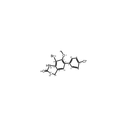 COc1c(-c2ccc(Cl)cc2)cc2c(c1Br)NC(=O)CC2